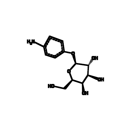 Nc1ccc(O[C@@H]2O[C@H](CO)[C@H](O)[C@H](O)[C@H]2O)cc1